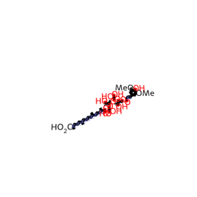 COc1cc(/C=C/C(=O)OCC(OC(OCC(OC(OC(=O)/C(C)=C/C=C/C(C)=C/C=C/C=C(C)/C=C/C=C(\C)C(=O)O)C(O)O)[C@H](C)O)C(O)O)[C@H](C)O)cc(OC)c1O